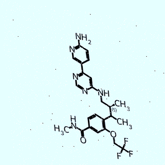 CNC(=O)c1ccc(C(C)[C@H](C)CNc2cc(-c3ccc(N)nc3)ncn2)c(OCC(F)(F)F)c1